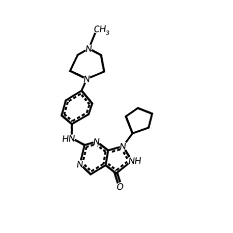 CN1CCN(c2ccc(Nc3ncc4c(=O)[nH]n(C5CCCC5)c4n3)cc2)CC1